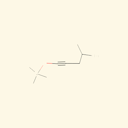 CCCCC(C)CC#CO[Si](C)(C)C